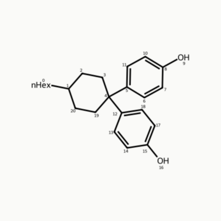 CCCCCCC1CCC(c2ccc(O)cc2)(c2ccc(O)cc2)CC1